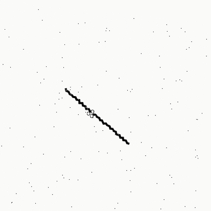 CCCCCCCCCCCCCCCCCCCCCC(=O)OC(=O)CCCCCCCCCCCCCCC